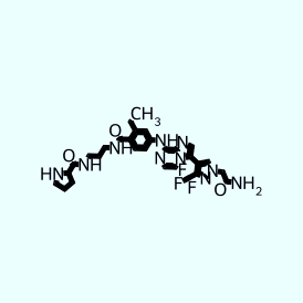 CCc1cc(Nc2nccn3c(-c4cn(CC(N)=O)nc4C(F)(F)F)cnc23)ccc1C(=O)NCCCNC(=O)C1CCCN1